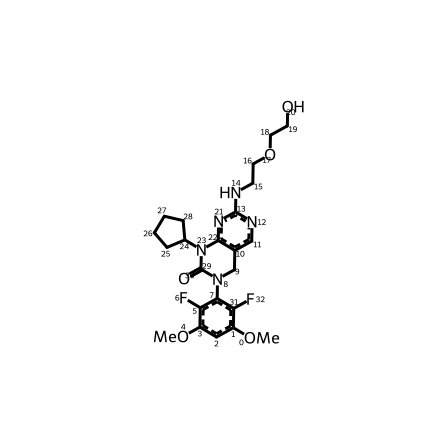 COc1cc(OC)c(F)c(N2Cc3cnc(NCCOCCO)nc3N(C3CCCC3)C2=O)c1F